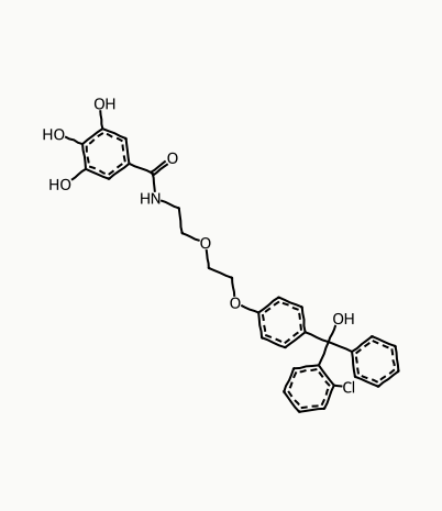 O=C(NCCOCCOc1ccc(C(O)(c2ccccc2)c2ccccc2Cl)cc1)c1cc(O)c(O)c(O)c1